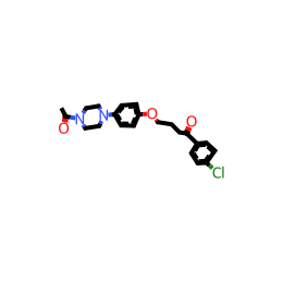 CC(=O)N1CCN(c2ccc(OCCCC(=O)c3ccc(Cl)cc3)cc2)CC1